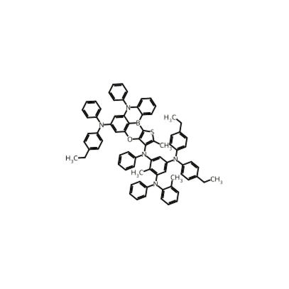 CCc1ccc(N(c2ccc(CC)cc2)c2cc(N(c3ccccc3)c3ccccc3C)c(C)c(N(c3ccccc3)c3c(C)sc4c3Oc3cc(N(c5ccccc5)c5ccc(CC)cc5)cc5c3B4c3ccccc3N5c3ccccc3)c2)cc1